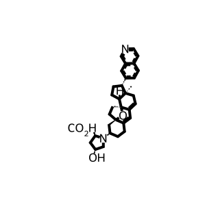 C[C@]12CC=C3C=C4CC[C@H](N5C[C@H](O)C[C@H]5C(=O)O)C[C@]45CC[C@]3(O5)[C@@H]1CC[C@@H]2c1ccc2ccncc2c1